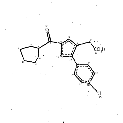 O=C(O)Cc1cc(C(=O)C2CCCCC2)sc1-c1ccc(Cl)cc1